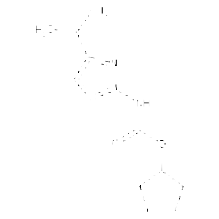 CC(C)c1csc(NC(=O)OC2CCCC2)n1